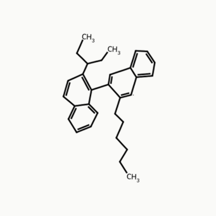 CCCCCCc1[c]c2ccccc2cc1-c1c(C(CC)CC)ccc2ccccc12